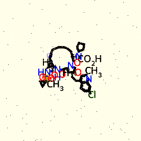 Cc1nc2cc(Cl)ccc2c2c1O[C@]1(CC2)C[C@H]2C(=O)N[C@]3(C(=O)NS(=O)(=O)C4(C)CC4)C[C@H]3/C=C\CCCCC[C@H](N(C(=O)O)C3CCCC3)C(=O)N2C1